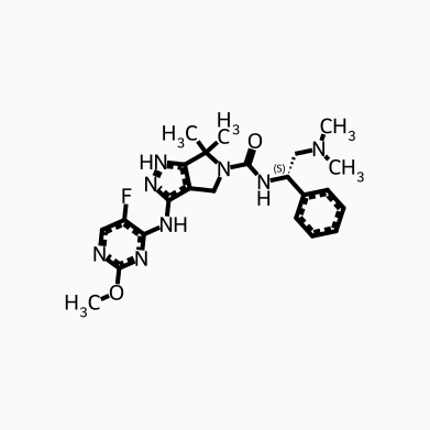 COc1ncc(F)c(Nc2n[nH]c3c2CN(C(=O)N[C@H](CN(C)C)c2ccccc2)C3(C)C)n1